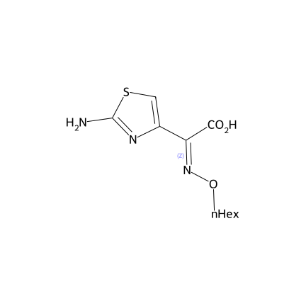 CCCCCCO/N=C(\C(=O)O)c1csc(N)n1